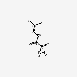 C=C(N)C(=C)SC=C(C)C